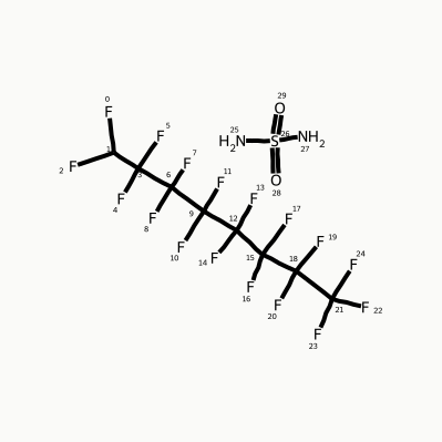 FC(F)C(F)(F)C(F)(F)C(F)(F)C(F)(F)C(F)(F)C(F)(F)C(F)(F)F.NS(N)(=O)=O